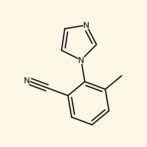 Cc1cccc(C#N)c1-n1ccnc1